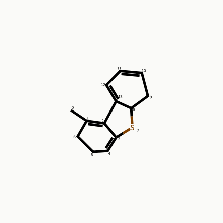 CC1=C2C(=CCC1)SC1CC=CC=C21